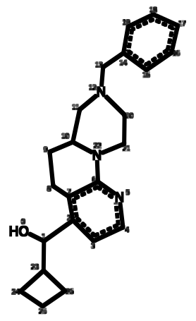 OC(c1ccnc2c1CCC1CN(Cc3ccccc3)CCN21)C1CCC1